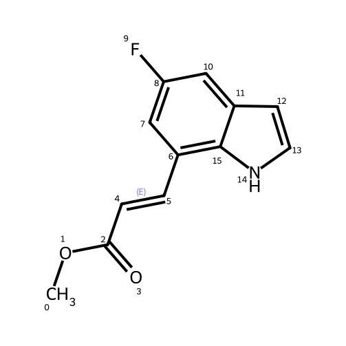 COC(=O)/C=C/c1cc(F)cc2cc[nH]c12